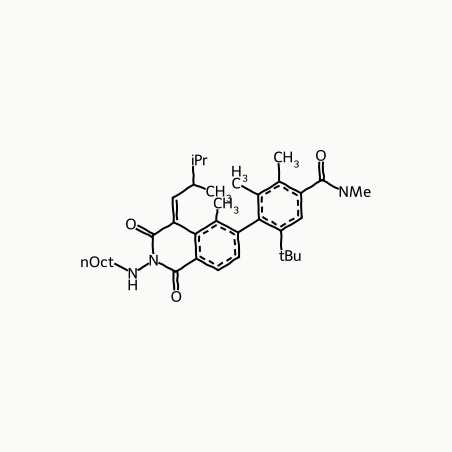 CCCCCCCCNN1C(=O)/C(=C/C(C)C(C)C)c2c(ccc(-c3c(C(C)(C)C)cc(C(=O)NC)c(C)c3C)c2C)C1=O